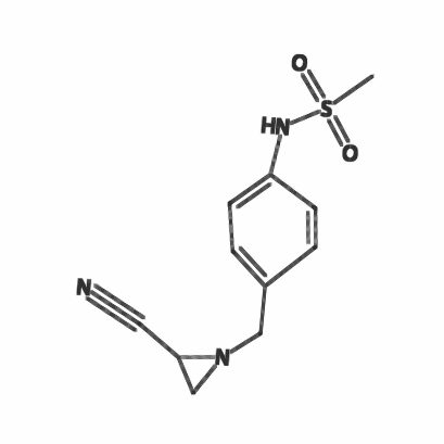 CS(=O)(=O)Nc1ccc(CN2CC2C#N)cc1